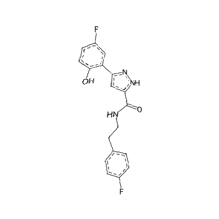 O=C(NCCc1ccc(F)cc1)c1cc(-c2cc(F)ccc2O)n[nH]1